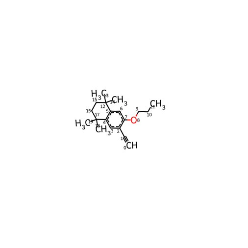 C#Cc1cc2c(cc1OCCC)C(C)(C)CCC2(C)C